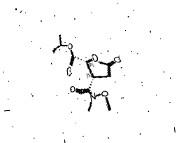 CON(C)C(=O)[C@H]1CC(=O)O[C@H]1C(=O)OC(C)C